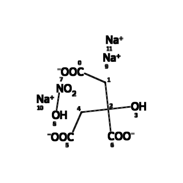 O=C([O-])CC(O)(CC(=O)[O-])C(=O)[O-].O=[N+]([O-])O.[Na+].[Na+].[Na+]